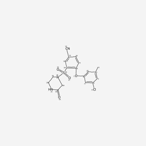 Cc1cc(Cl)cc(Oc2ccc(C#N)cc2S(=O)(=O)N2CCNC(=O)C2)c1